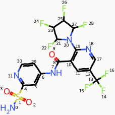 NS(=O)(=O)c1cc(NC(=O)c2cc(C(F)(F)F)cnc2N2C(F)C(F)C(F)C2F)ccn1